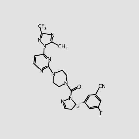 Cc1nc(C(F)(F)F)nn1-c1ccnc(N2CCN(C(=O)N3N=CC[C@H]3c3cc(F)cc(C#N)c3)CC2)n1